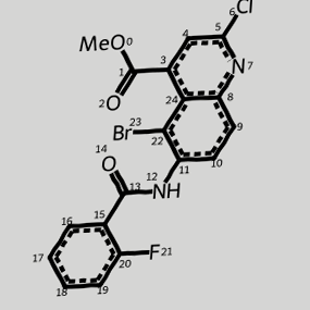 COC(=O)c1cc(Cl)nc2ccc(NC(=O)c3ccccc3F)c(Br)c12